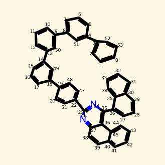 c1ccc(-c2cccc(-c3cccc(-c4cccc(-c5ccc(-c6nc(-c7cccc8ccccc78)c7c(ccc8ccccc87)n6)cc5)c4)c3)c2)cc1